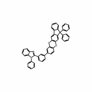 c1ccc(-n2c(-c3cccc(-c4ccc5c(c4)Oc4cc6c(cc4O5)C(c4ccccc4)(c4ccccc4)c4ccccc4-6)c3)nc3ccccc32)cc1